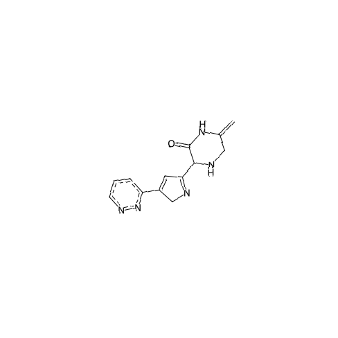 C=C1CNC(C2=NCC(c3cccnn3)=C2)C(=O)N1